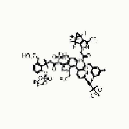 CC(C)OP(=O)(Oc1cccc(CC(=O)O)c1C(C)(C)CC(=O)N(c1nn(CC(F)(F)F)c2c(-c3ccc(C#CC(C)(C)S(C)(=O)=O)nc3[C@H](Cc3cc(F)cc(F)c3)NC(=O)Cn3nc(C(F)(F)F)c4c3C(F)(F)[C@@H]3C[C@H]43)ccc(Cl)c12)S(C)(=O)=O)OC(C)C